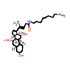 CCCCCCCCCCCCCCCCCCNC(=O)CC[C@@H](C)C1CC[C@H]2[C@@H]3[C@H](O)C[C@@H]4C[C@H](O)CC[C@]4(C)[C@H]3C[C@H](O)[C@]12C